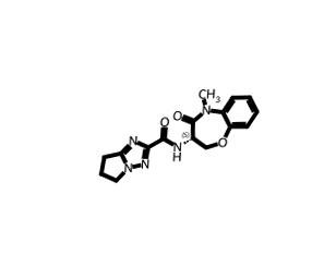 CN1C(=O)[C@@H](NC(=O)c2nc3n(n2)CCC3)COc2ccccc21